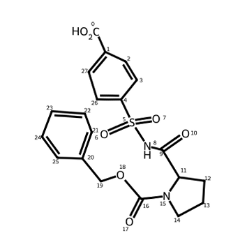 O=C(O)c1ccc(S(=O)(=O)NC(=O)C2CCCN2C(=O)OCc2ccccc2)cc1